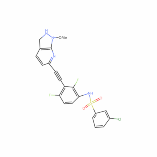 CON1NCc2ccc(C#Cc3c(F)ccc(NS(=O)(=O)c4cccc(Cl)c4)c3F)nc21